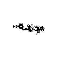 Cn1c(N2CCC3(CC2)Oc2ccoc2[C@H]3N)ncc(C#CCc2cccc(O)c2)c1=O